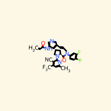 C=CC(=O)Nc1cncc(C#CCN(C(=O)[C@@H]2CCCN2c2nc(C)cc(C(F)(F)F)c2C#N)c2ccc(F)c(F)c2)c1